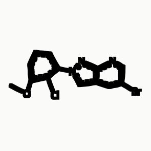 COc1cccc(-n2cc3cc(Br)cnc3n2)c1Cl